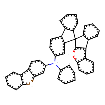 c1ccc(N(c2ccc3c(c2)C2(c4ccccc4-3)c3ccccc3-c3c2oc2ccccc32)c2ccc3c(c2)sc2ccccc23)cc1